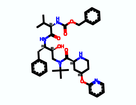 CC(C)[C@H](NC(=O)OCc1ccccc1)C(=O)N[C@@H](Cc1ccccc1)[C@H](O)CN(C(=O)[C@@H]1C[C@H](Oc2ccccn2)CCN1)C(C)(C)C